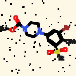 CCS(=O)(=O)c1cc(N2CCN(C(=O)OC(C)(C)C)CC2)cc(Br)c1OC